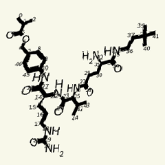 CC(C)C(=O)OCc1ccc(NC(=O)[C@H](CCCNC(N)=O)NC(=O)[C@@H](NC(=O)CC[C@@H](N)C(=O)NCCC(C)(C)C)C(C)C)cc1